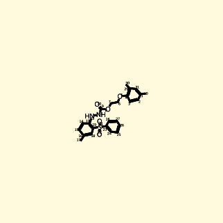 Cc1ccc(OCCOC(=O)NNc2ccc(C)cc2S(=O)(=O)c2ccccc2)c(C)c1